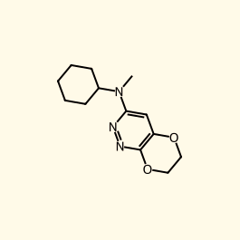 CN(c1cc2c(nn1)OCCO2)C1CCCCC1